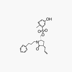 C=CC[C@@H]1C[C@@H](COS(=O)(=O)c2cc(O)ccc2C)N(CCCc2ccccc2)C1=O